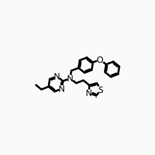 CCc1cnc(N(CCc2cs[c]n2)Cc2ccc(Oc3ccccc3)cc2)nc1